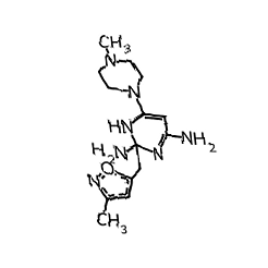 Cc1cc(CC2(N)N=C(N)C=C(N3CCN(C)CC3)N2)on1